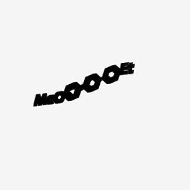 CC[C@H]1CC[C@H](C2CC=C(c3ccc(OC)cc3)CC2)CC1